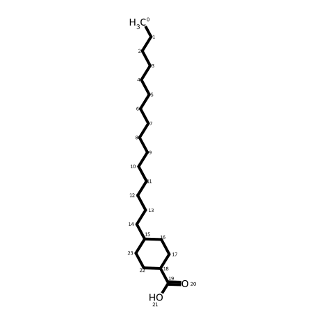 CCCCCCCCCCCCCCCC1CCC(C(=O)O)CC1